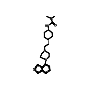 CN(C)C(=O)N[C@H]1CC[C@H](CCN2CCN(c3cccc4cscc34)CC2)CC1